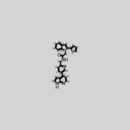 O=C(Cn1c(-c2cccs2)cc2ccccc21)NCc1ccc(-c2ccnc3[nH]ccc23)cn1